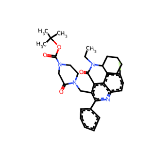 CCN(C(=O)c1c(CN2CCN(C(=O)OC(C)(C)C)CC2=O)c(-c2ccccc2)nc2ccc(F)cc12)C1CCCCC1